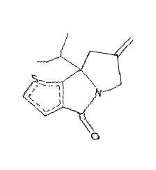 C=C1CN2C(=O)c3ccsc3C2(C(C)C)C1